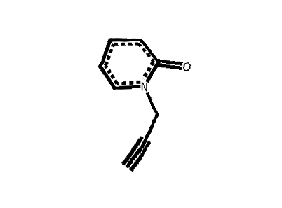 C#CCn1ccccc1=O